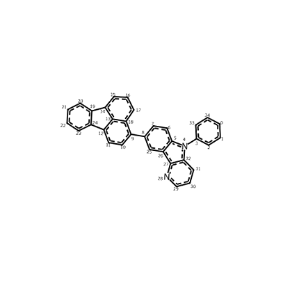 c1ccc(-n2c3ccc(-c4ccc5c6c(cccc46)-c4ccccc4-5)cc3c3ncccc32)cc1